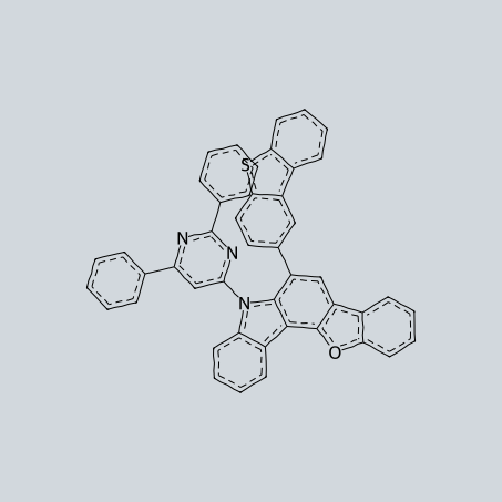 c1ccc(-c2cc(-n3c4ccccc4c4c5oc6ccccc6c5cc(-c5ccc6sc7ccccc7c6c5)c43)nc(-c3ccccc3)n2)cc1